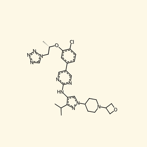 CC(C)c1nn(C2CCN(C3COC3)CC2)cc1Nc1ncc(-c2ccc(Cl)c(O[C@@H](C)Cn3cnnn3)c2)cn1